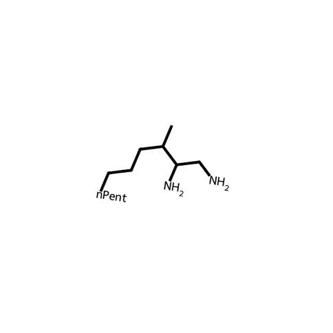 CCCCCCCCC(C)C(N)CN